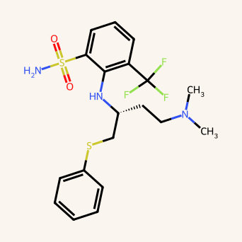 CN(C)CC[C@H](CSc1ccccc1)Nc1c(C(F)(F)F)cccc1S(N)(=O)=O